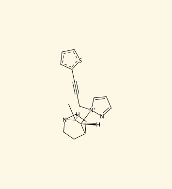 C[C@H]1[C@H]([N+]2(CC#Cc3cccs3)C=CC=N2)C2CCN1CC2